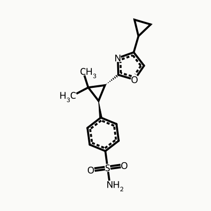 CC1(C)[C@H](c2ccc(S(N)(=O)=O)cc2)[C@H]1c1nc(C2CC2)co1